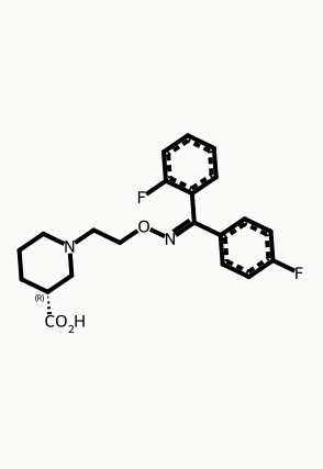 O=C(O)[C@@H]1CCCN(CCON=C(c2ccc(F)cc2)c2ccccc2F)C1